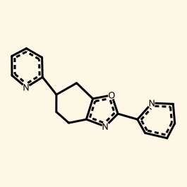 c1ccc(-c2nc3c(o2)CC(c2ccccn2)CC3)nc1